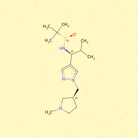 CC(C)[C@H](N[S@+]([O-])C(C)(C)C)c1cnn(C[C@H]2CCN(C)C2)c1